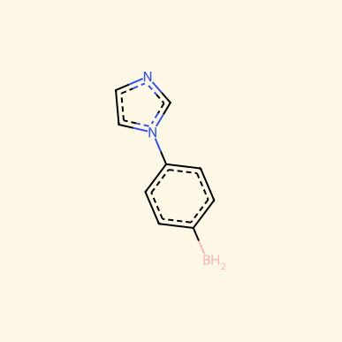 Bc1ccc(-n2ccnc2)cc1